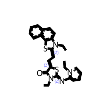 CCN1C(=O)/C(=C/C=C2\Sc3c(ccc4ccccc34)N2CC)S/C1=N\c1cccc[n+]1CC